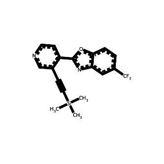 C[Si](C)(C)C#Cc1cnccc1-c1nc2cc(C(F)(F)F)ccc2o1